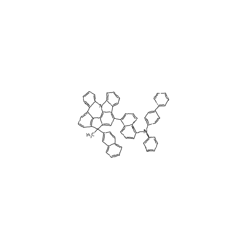 CC1(c2ccc3ccccc3c2)c2cccc3c2-c2c1cc(-c1cccc4c(N(c5ccccc5)c5ccc(-c6ccccc6)cc5)cccc14)c1c4ccccc4n(c21)-c1ccccc1-3